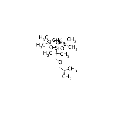 C=C(C)COCC(C)(C)[Si](C)(O[Si](C)(C)C)O[Si](C)(C)C